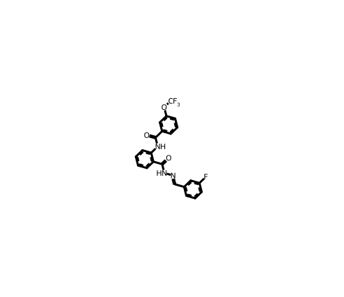 O=C(Nc1ccccc1C(=O)N/N=C/c1cccc(F)c1)c1cccc(OC(F)(F)F)c1